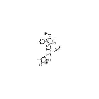 Cc1cn([C@H](C)O[C@@H](COP=O)[C@@H](F)OP(=O)(N[C@@H](C)C(=O)OC(C)C)Oc2ccccc2)c(=O)[nH]c1=O